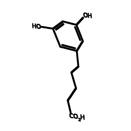 O=C(O)CCCCc1cc(O)cc(O)c1